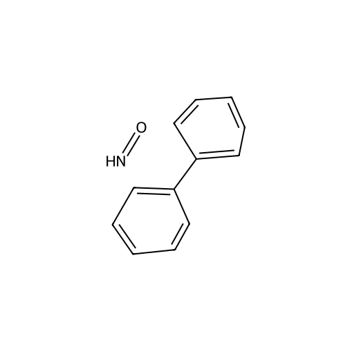 N=O.c1ccc(-c2ccccc2)cc1